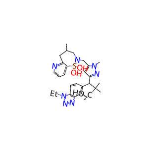 CCn1nnc2c(C)c(C(c3cc(CN4CC(C)Cc5ncccc5S4(O)O)n(C)n3)C(C)(C)C(=O)O)ccc21